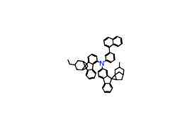 CCC1CC2CCCC(C1)C21c2ccccc2-c2c(N(c3cccc(-c4cccc5ccccc45)c3)c3ccc4c(c3)C3(c5ccccc5-4)C4CC5CC(C)CC43C5)cccc21